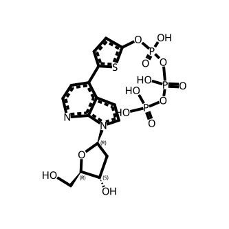 O=P(O)(O)OP(=O)(O)OP(=O)(O)Oc1ccc(-c2ccnc3c2ccn3[C@H]2C[C@H](O)[C@@H](CO)O2)s1